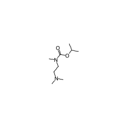 CC(C)OC(=O)N(C)CCN(C)C